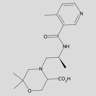 Cc1ccncc1C(=O)N[C@@H](C)CN1CC(C)(C)OCC1C(=O)O